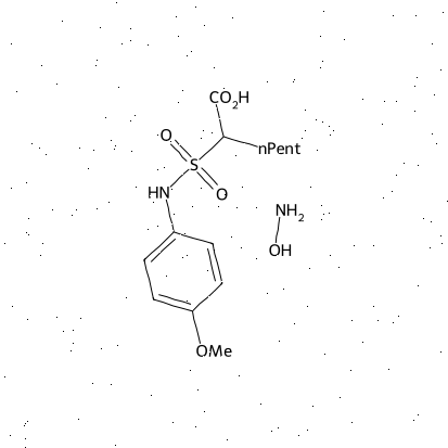 CCCCCC(C(=O)O)S(=O)(=O)Nc1ccc(OC)cc1.NO